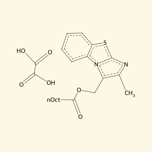 CCCCCCCCC(=O)OCc1c(C)nc2sc3ccccc3n12.O=C(O)C(=O)O